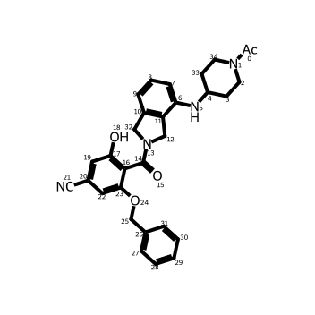 CC(=O)N1CCC(Nc2cccc3c2CN(C(=O)c2c(O)cc(C#N)cc2OCc2ccccc2)C3)CC1